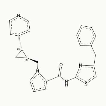 O=C(Nc1nc(Cc2ccccc2)cs1)c1cccn1C[C@H]1C[C@@H]1c1ccncc1